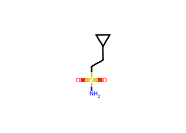 NS(=O)(=O)CCC1CC1